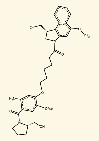 COc1cc(C(=O)N2CCC[C@H]2CO)c(N)cc1OCCCCCC(=O)N1C[C@@H](CCl)c2c1cc(OP)c1ccccc21